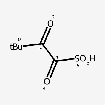 CC(C)(C)C(=O)C(=O)S(=O)(=O)O